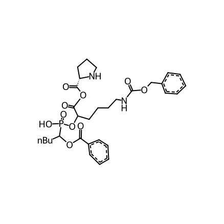 CCCCC(OC(=O)c1ccccc1)P(=O)(O)OC(CCCCNC(=O)OCc1ccccc1)C(=O)OC(=O)[C@@H]1CCCN1